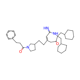 N=C1C=C(CCC2CCN(C(=O)CCc3ccccc3)C2)CC(=O)C(CC2CCCCC2)(CC2CCCCC2)N1